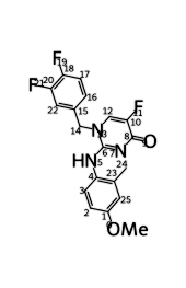 COc1ccc(Nc2nc(=O)c(F)cn2Cc2ccc(F)c(F)c2)c(C)c1